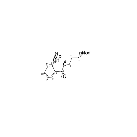 CCCCCCCCCCCCOC(=O)c1ccccc1O.[Mo]